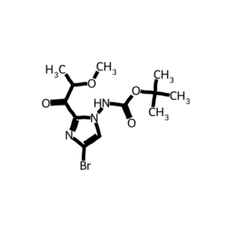 COC(C)C(=O)c1nc(Br)cn1NC(=O)OC(C)(C)C